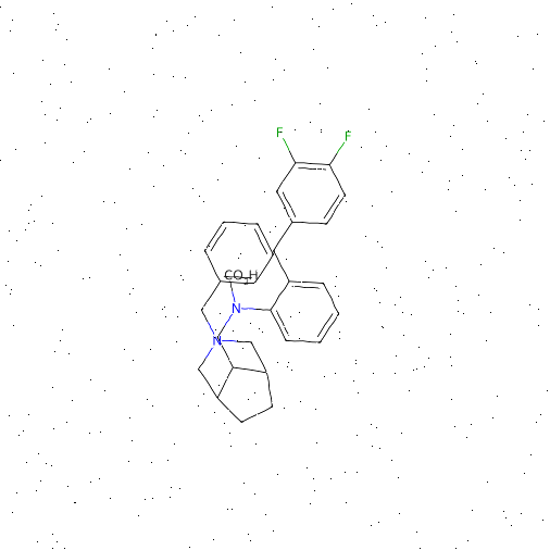 O=C(O)N(CC1C2CCC1CN(Cc1ccccc1)C2)c1ccccc1Cc1ccc(F)c(F)c1